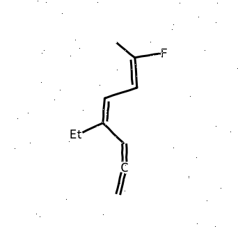 C=C=C/C(=C\C=C(/C)F)CC